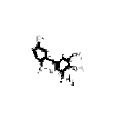 Cc1ccc(F)cc1-c1cc(C)c(O)c(C)c1